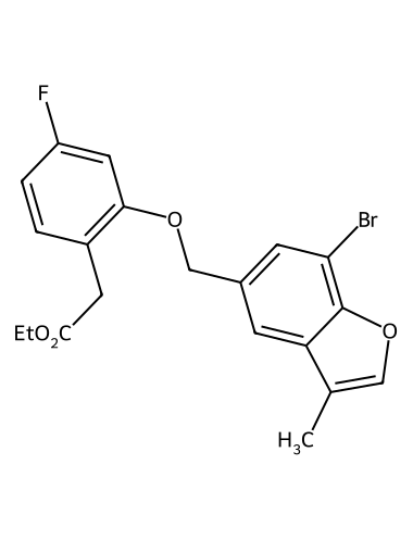 CCOC(=O)Cc1ccc(F)cc1OCc1cc(Br)c2occ(C)c2c1